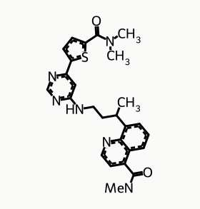 CNC(=O)c1ccnc2c(C(C)CCNc3cc(-c4ccc(C(=O)N(C)C)s4)ncn3)cccc12